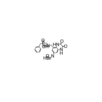 Br.O=c1[nH]c2cc([N+](=O)[O-])cc(CNCP(=O)(O)Cc3ccccc3)c2[nH]c1=O